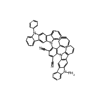 N#Cc1cc(C#N)c(-n2c3ccccc3c3cc4c(cc32)c2ccccc2n4-c2ccccc2)c(C2=CC=CC#CC2)c1-n1c2c(c3cc4c(cc31)c1ccccc1n4P)C=CCC2